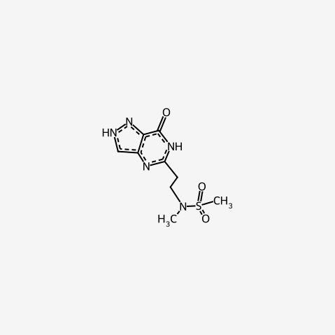 CN(CCc1nc2c[nH]nc2c(=O)[nH]1)S(C)(=O)=O